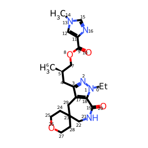 CCn1nc(C[C@@H](C)COC(=O)c2cn(C)cn2)c2c1C(=O)NCC1(CCOCC1)C2